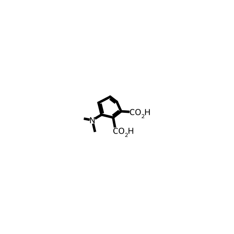 CN(C)c1cccc(C(=O)O)c1C(=O)O